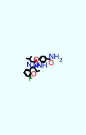 CC(=O)c1c(-c2cccc(F)c2)nc(C(C)C)c(=O)n1Nc1cccc(C(N)=O)c1